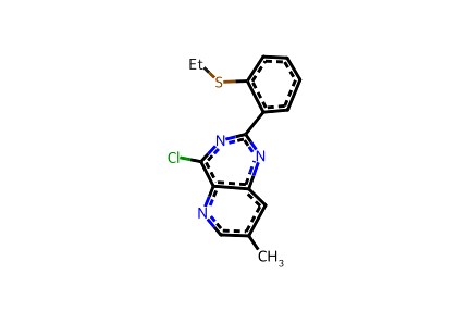 CCSc1ccccc1-c1nc(Cl)c2ncc(C)cc2n1